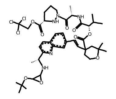 CC(C)[C@H](OC(=O)C1(C=Cc2ccc3ccc([C@@H](C)NC4OC4OC(C)(C)C)nc3c2)CCOC(C)(C)C1)C(=O)N[C@@H](C)C(=O)N1CCC[C@@H](C(=O)OCC(Cl)(Cl)Cl)N1